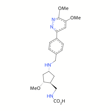 COc1cc(-c2ccc(CN[C@@H]3C[C@@H](CNC(=O)O)[C@H](OC)C3)cc2)nnc1OC